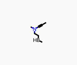 CBCCN(C)C#CC